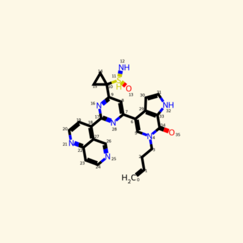 C=CCCn1cc(-c2cc(C3([SH](=N)=O)CC3)nc(-c3ccnc4ccncc34)n2)c2cc[nH]c2c1=O